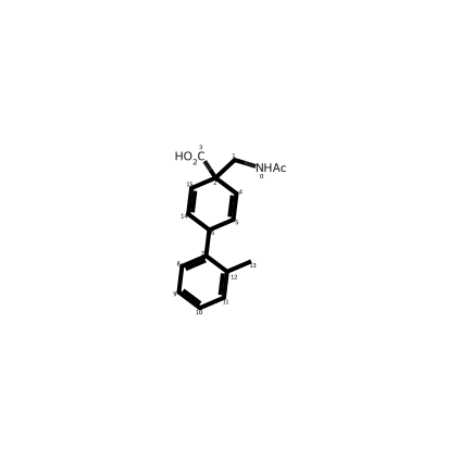 CC(=O)NCC1(C(=O)O)C=CC(c2ccccc2C)C=C1